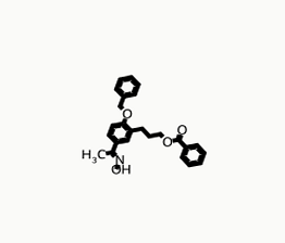 CC(=NO)c1ccc(OCc2ccccc2)c(CCCOC(=O)c2ccccc2)c1